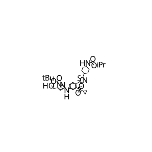 CC(C)OC(=O)NC1CCC(c2ncc(-c3ccc(Nc4cc(CO)n(C(=O)OC(C)(C)C)n4)cc3S(=O)(=O)C3CC3)s2)CC1